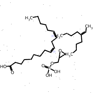 CC=C(CCCC)CCCC.CCCCC/C=C\C/C=C\CCCCCCCC(=O)O.O=P(O)(O)OCC1CO1